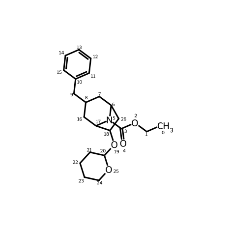 CCOC(=O)N1C2CC(Cc3ccccc3)CC1C(OC1CCCCO1)C2